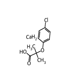 CC(C)(Oc1ccc(Cl)cc1)C(=O)O.[CaH2]